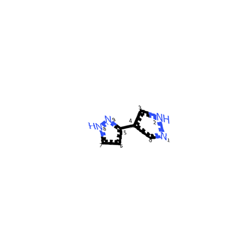 [c]1n[nH]cc1-c1cc[nH]n1